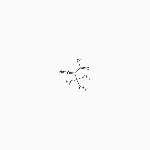 CC(C)(C)C(=O)C(=O)[O-].[Na+]